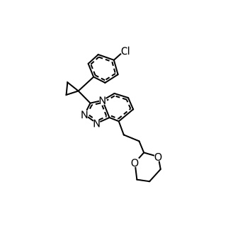 Clc1ccc(C2(c3nnc4c(CCC5OCCCO5)cccn34)CC2)cc1